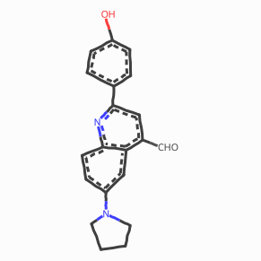 O=Cc1cc(-c2ccc(O)cc2)nc2ccc(N3CCCC3)cc12